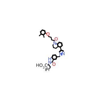 Cc1cccc(OCCCC(=O)N2CCCc3c(-c4cnn(Cc5cccc(C(=O)NC(CC(C)C)C(=O)O)c5)c4)cccc32)c1C